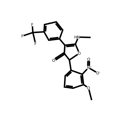 CNC1=C(c2cccc(C(F)(F)F)c2)C(=O)C(c2cccc(OC)c2[N+](=O)[O-])O1